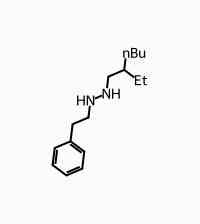 CCCCC(CC)CNNCCc1ccccc1